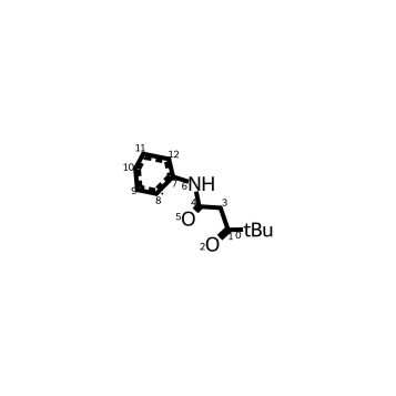 CC(C)(C)C(=O)CC(=O)Nc1[c]cccc1